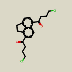 O=C(CCCCl)c1ccc2c(C(=O)CCCCl)ccc3c2c1CC3